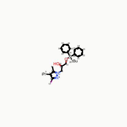 Cc1c(C(C)C)c(I)nn1CC(O)CO[Si](c1ccccc1)(c1ccccc1)C(C)(C)C